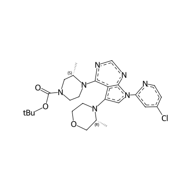 C[C@@H]1COCCN1c1cn(-c2cc(Cl)ccn2)c2ncnc(N3CCN(C(=O)OC(C)(C)C)C[C@@H]3C)c12